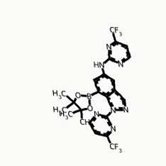 CC1(C)OB(c2cc(Nc3nccc(C(F)(F)F)n3)cc3cnn(-c4nccc(C(F)(F)F)n4)c23)OC1(C)C